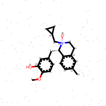 COc1ccc(C[C@H]2c3ccc(C)cc3CC[N@+]2([O-])CC2CC2)cc1O